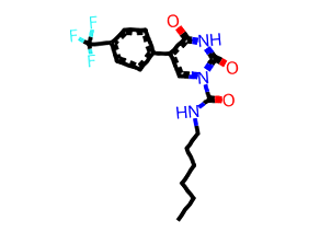 CCCCCCNC(=O)n1cc(-c2ccc(C(F)(F)F)cc2)c(=O)[nH]c1=O